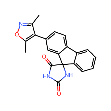 Cc1noc(C)c1-c1ccc2c(c1)C1(NC(=O)NC1=O)c1ccccc1-2